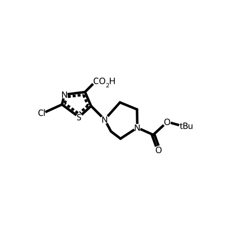 CC(C)(C)OC(=O)N1CCN(c2sc(Cl)nc2C(=O)O)CC1